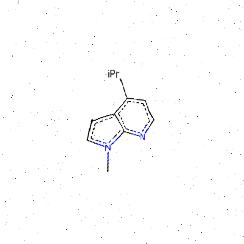 CC(C)c1ccnc2c1ccn2C